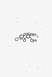 Nc1nc2oc3ccc(C4CCCC4)nc3c(=O)c2cc1CO